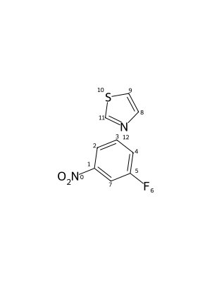 O=[N+]([O-])c1cccc(F)c1.c1cscn1